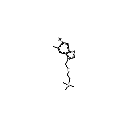 Cc1cc2c(cc1Br)ncn2COCC[Si](C)(C)C